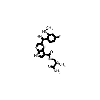 CNc1cc(F)ccc1C(=N)c1cnc2[nH]cc(C(=O)NC[C@@H](C)C(N)=O)c2n1